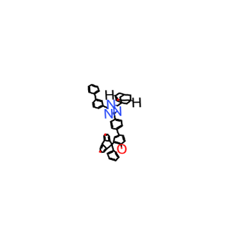 c1ccc(-c2cccc(-c3nc(-c4ccc(-c5ccc6c(c5)C5(c7ccccc7O6)c6ccccc6-c6ccccc65)cc4)nc(C45CC6C[C@H](C4)C[C@@H](C6)C5)n3)c2)cc1